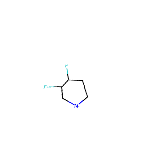 FC1CC[N]CC1F